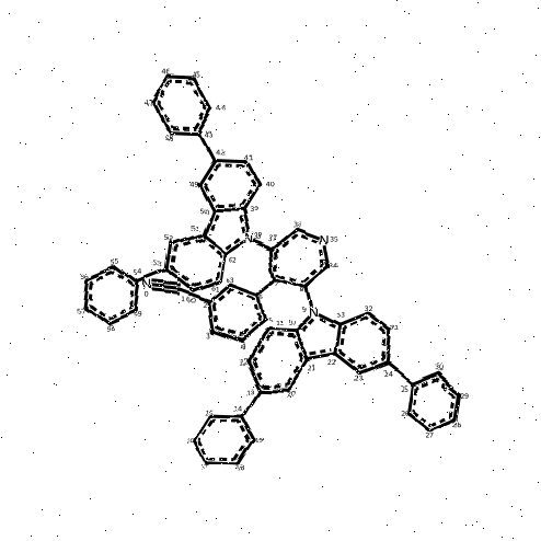 N#Cc1cccc(-c2c(-n3c4ccc(-c5ccccc5)cc4c4cc(-c5ccccc5)ccc43)cncc2-n2c3ccc(-c4ccccc4)cc3c3cc(-c4ccccc4)ccc32)c1